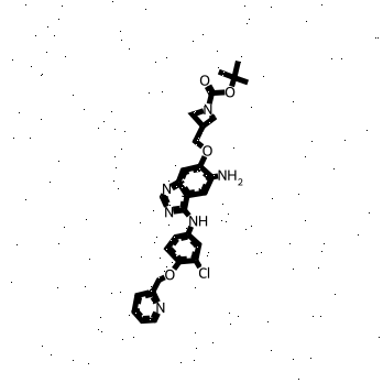 CC(C)(C)OC(=O)N1CC(COc2cc3ncnc(Nc4ccc(OCc5ccccn5)c(Cl)c4)c3cc2N)C1